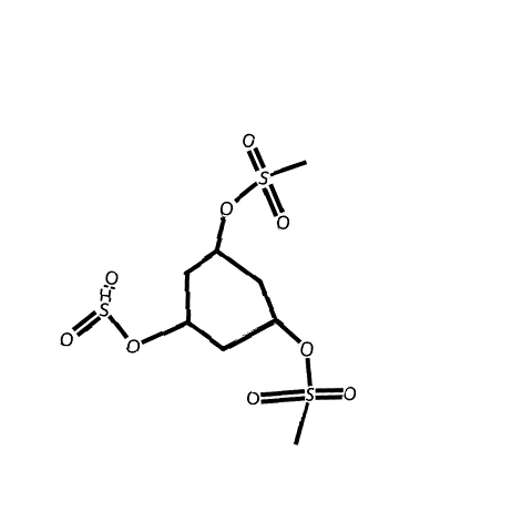 CS(=O)(=O)OC1CC(O[SH](=O)=O)CC(OS(C)(=O)=O)C1